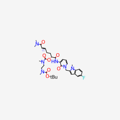 CN(C)C(=O)/C=C/CCC(OC(=O)N(C)CCN(C)C(=O)OC(C)(C)C)C(=O)Nc1cccn(Cc2cc3cc(F)ccc3n2C)c1=O